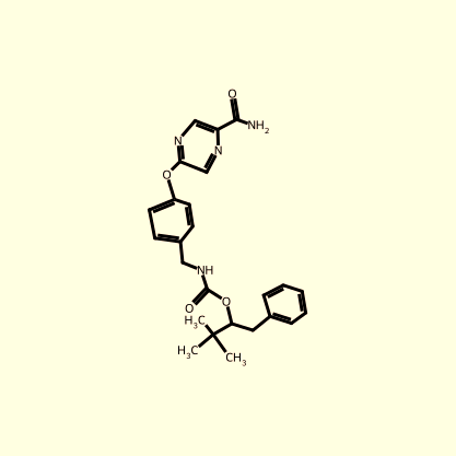 CC(C)(C)C(Cc1ccccc1)OC(=O)NCc1ccc(Oc2cnc(C(N)=O)cn2)cc1